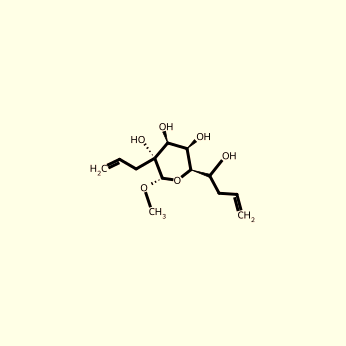 C=CCC(O)[C@H]1O[C@H](OC)[C@@](O)(CC=C)[C@@H](O)[C@H]1O